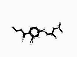 CCCC(=O)c1ccc(OCC(C)CN(C)C)cc1Cl